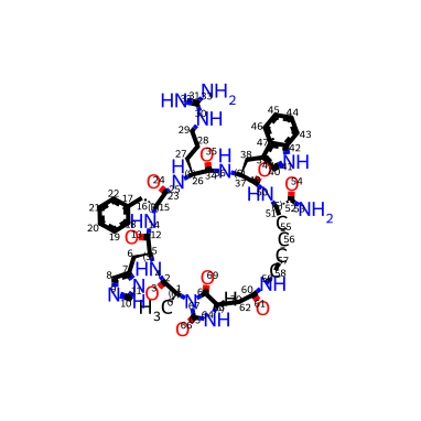 C[C@@H]1C(=O)N[C@@H](Cc2cnc[nH]2)C(=O)N[C@H](Cc2ccccc2)C(=O)N[C@@H](CCCNC(=N)N)C(=O)N[C@@H](Cc2c[nH]c3ccccc23)C(=O)N[C@H](C(N)=O)CCCCNC(=O)C[C@@H]2NC(=O)N1C2=O